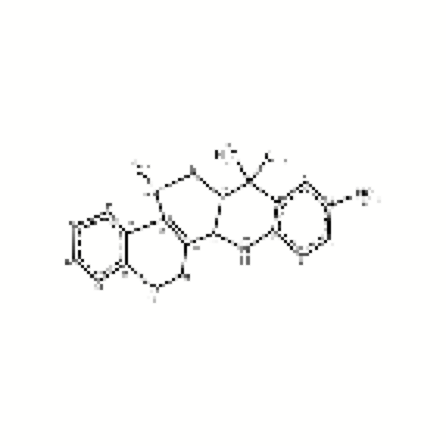 CC1(C)c2cc([N+](=O)[O-])ccc2NC2C3=C(c4ccccc4OC3)[S+]([O-])CC21